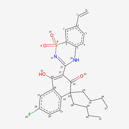 C=Cc1ccc2c(c1)S(=O)(=O)N=C(C1=C(O)c3cc(F)ccc3C(CCCC)(CCCC)C1=O)N2